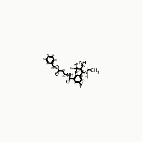 CCN/C(=C(\C=N)C(F)(F)F)c1cc(F)cc(C(=O)NCCC(=O)OCc2ccccc2)c1